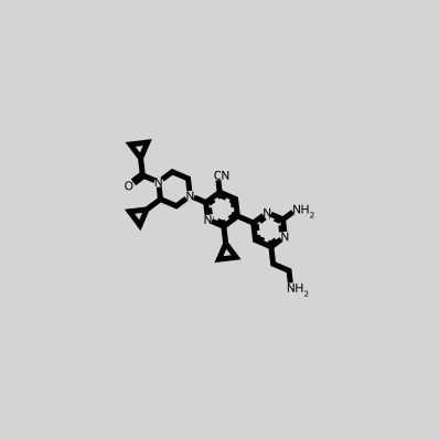 N#Cc1cc(-c2cc(CCN)nc(N)n2)c(C2CC2)nc1N1CCN(C(=O)C2CC2)C(C2CC2)C1